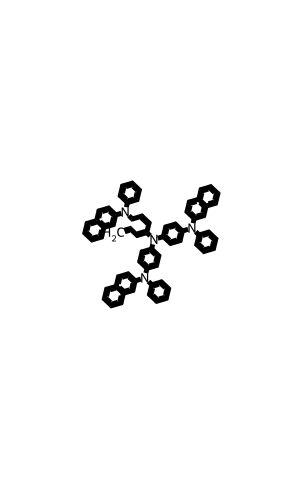 C=C/C=C(\C=C/CN(c1ccccc1)c1ccc2ccccc2c1)N(c1ccc(N(c2ccccc2)c2ccc3ccccc3c2)cc1)c1ccc(N(c2ccccc2)c2ccc3ccccc3c2)cc1